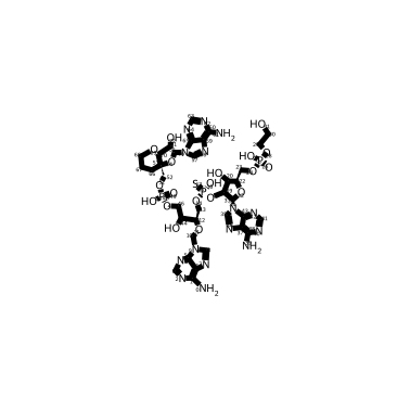 Nc1ncnc2c1ncn2CO[C@H](COP(O)(=S)OC1C(O)[C@@H](COP(=O)(O)OCCO)O[C@H]1n1cnc2c(N)ncnc21)C(O)COP(=O)(O)OC[C@]1(OCn2cnc3c(N)ncnc32)CCCOC1CO